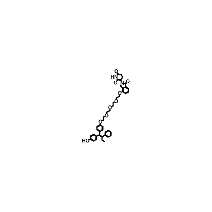 CCC(=C(c1ccc(O)cc1)c1ccc(OCCOCCOCCOCCOc2cccc3c2CN(C2CCC(=O)NC2=O)C3=O)cc1)c1ccccc1